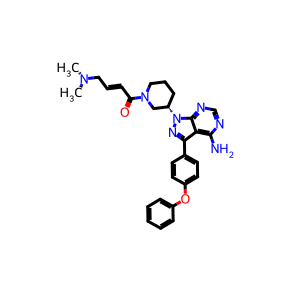 CN(C)C/C=C/C(=O)N1CCC[C@H](n2nc(-c3ccc(Oc4ccccc4)cc3)c3c(N)ncnc32)C1